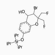 CC(C)[Si](Oc1ccc2c(c1)OC(CF)(CF)C(Br)C2O)(C(C)C)C(C)C